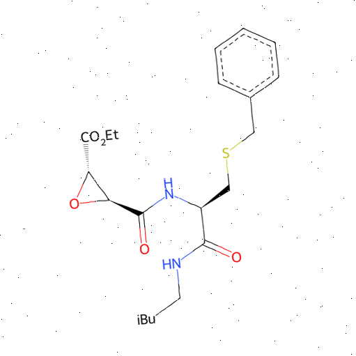 CCOC(=O)[C@H]1O[C@@H]1C(=O)N[C@@H](CSCc1ccccc1)C(=O)NCC(C)CC